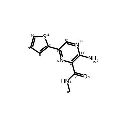 CNC(=O)c1nc(-c2cccs2)cnc1N